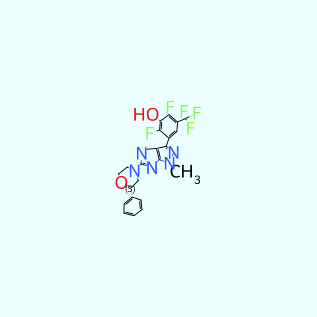 Cn1nc(-c2cc(C(F)(F)F)c(F)c(O)c2F)c2cnc(N3CCO[C@@H](c4ccccc4)C3)nc21